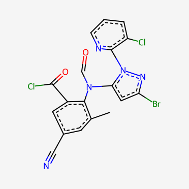 Cc1cc(C#N)cc(C(=O)Cl)c1N(C=O)c1cc(Br)nn1-c1ncccc1Cl